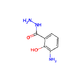 NNC(=O)c1cccc(N)c1O